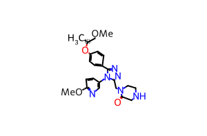 COC[C@H](C)Oc1ccc(-c2nnc(CN3CCNCC3=O)n2-c2ccc(OC)nc2)cc1